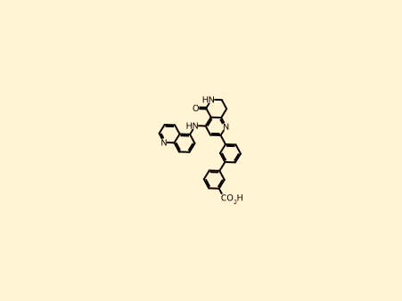 O=C(O)c1cccc(-c2cccc(-c3cc(Nc4cccc5ncccc45)c4c(n3)CCNC4=O)c2)c1